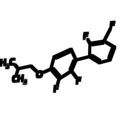 CC(C)COc1ccc(-c2cccc(F)c2F)c(F)c1F